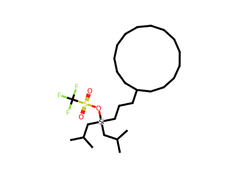 CC(C)C[Si](CCCC1CCCCCCCCCCCCCC1)(CC(C)C)OS(=O)(=O)C(F)(F)F